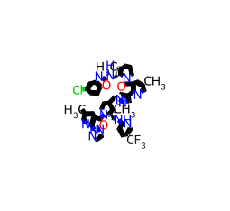 Cc1cnc(-c2cnn(CC3CCN(C(=O)c4cc(C)cnc4-n4nccn4)[C@H](CNc4ccc(C(F)(F)F)cn4)[C@@H]3C)c2)c(C(=O)N2CCC[C@@H](C)[C@H]2CNc2nc3cc(Cl)ccc3o2)c1